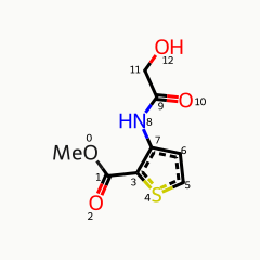 COC(=O)c1sccc1NC(=O)CO